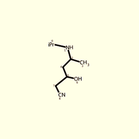 CC(C)NC(C)CC(O)CC#N